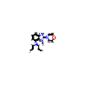 CCCN(CCC)c1cccc2nc(N3CCOCC3)n(C)c12